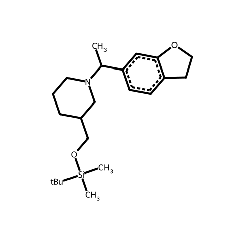 CC(c1ccc2c(c1)OCC2)N1CCCC(CO[Si](C)(C)C(C)(C)C)C1